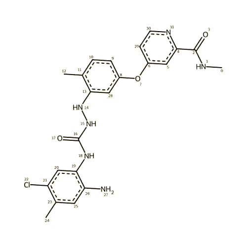 CNC(=O)c1cc(Oc2ccc(C)c(NNC(=O)Nc3cc(Cl)c(C)cc3N)c2)ccn1